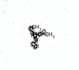 C=CC(=O)N1CCN(c2nc(OC[C@@H]3CCCN3C)nc3c2CN(Cc2cccc4ccccc24)C3)CC1